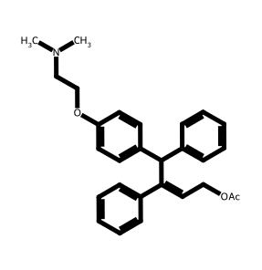 CC(=O)OCC=C(c1ccccc1)C(c1ccccc1)c1ccc(OCCN(C)C)cc1